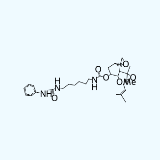 COC1C(OC(=O)NCCCCCCNC(=O)CNc2ccccc2)CC[C@]2(CO2)C1C1(C)O[C@@H]1CC=C(C)C